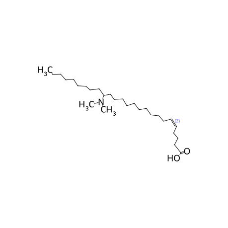 CCCCCCCCCC(CCCCCCCCCC/C=C\CCCC(=O)O)N(C)C